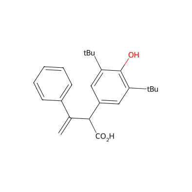 C=C(c1ccccc1)C(C(=O)O)c1cc(C(C)(C)C)c(O)c(C(C)(C)C)c1